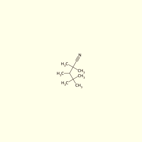 CC(C(C)(C)C)C(C)(C)C#N